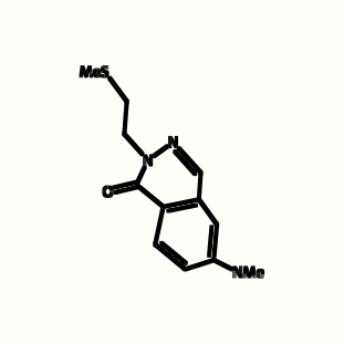 CNc1ccc2c(=O)n(CCSC)ncc2c1